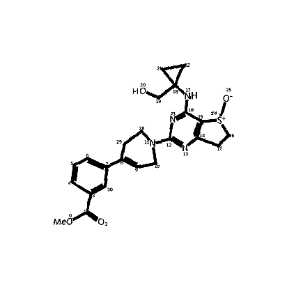 COC(=O)c1cccc(C2=CCN(c3nc4c(c(NC5(CO)CC5)n3)[S+]([O-])CC4)CC2)c1